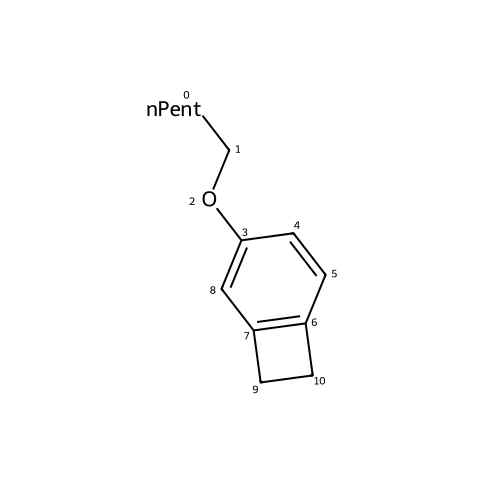 CCCCCCOc1ccc2c(c1)CC2